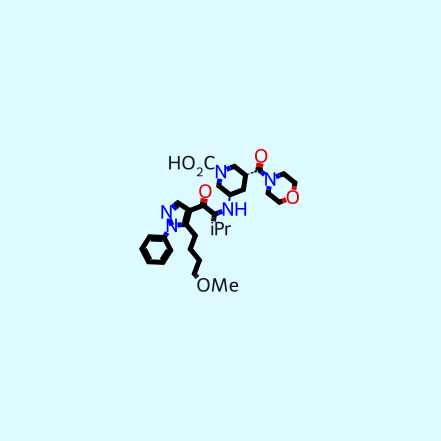 COCCCCc1c(C(=O)C(N[C@H]2C[C@@H](C(=O)N3CCOCC3)CN(C(=O)O)C2)C(C)C)cnn1-c1ccccc1